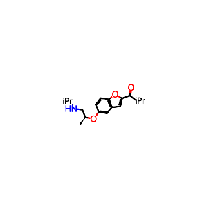 CC(C)NC[C@H](C)Oc1ccc2oc(C(=O)C(C)C)cc2c1